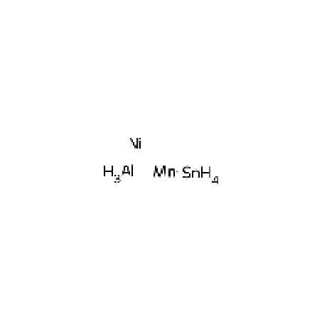 [AlH3].[Mn].[Ni].[SnH4]